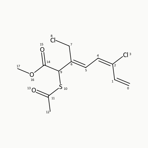 C=C/C(Cl)=C\C=C(/CCl)C(SC(C)=O)C(=O)OC